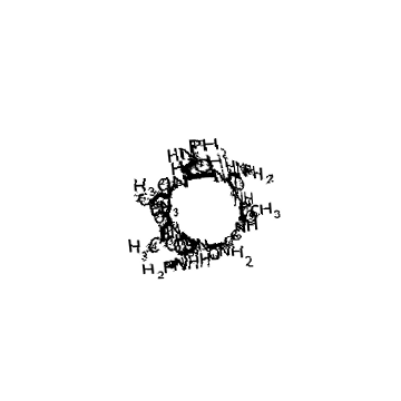 CC[C@@H]1NC(=O)C(CCNP)NC(=O)C(CCNP)NC(=O)C(CC(C)C)NC(=O)C(CC(C)C)NC(=O)C(CCNP)NC(=O)C(N)CCNC1=O